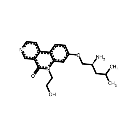 CC(C)C[C@H](N)COc1ccc2c3ccncc3c(=O)n(CCO)c2c1